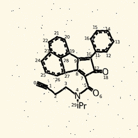 C#CCCN(C(=O)C1=C2C(=C(c3ccccc3)C1=O)c1cccc3cccc2c13)C(C)C